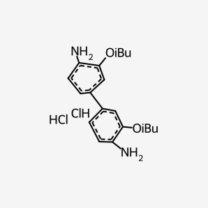 CC(C)COc1cc(-c2ccc(N)c(OCC(C)C)c2)ccc1N.Cl.Cl